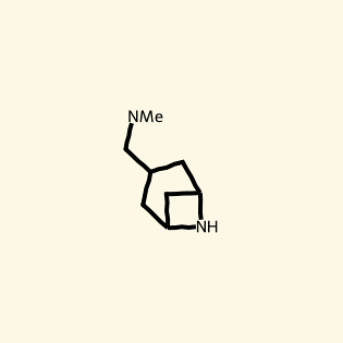 CNCC1CC2CC(C1)N2